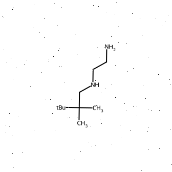 CC(C)(C)C(C)(C)CNCCN